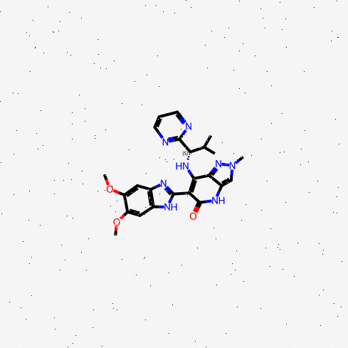 COc1cc2nc(-c3c(N[C@H](c4ncccn4)C(C)C)c4nn(C)cc4[nH]c3=O)[nH]c2cc1OC